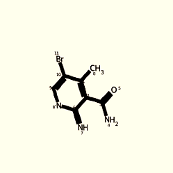 CC1=C(C(N)=O)C(=N)[N]C=C1Br